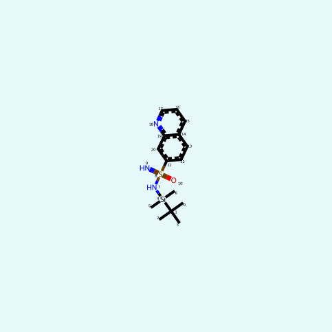 CC(C)(C)[Si](C)(C)NS(=N)(=O)c1ccc2cccnc2c1